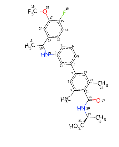 Cc1cc(-c2cccc(NC(C)c3ccc(F)c(OC(F)(F)F)c3)c2)cc(C)c1C(=O)N[C@@H](C)C(=O)O